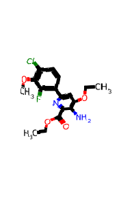 CCOC(=O)c1nc(-c2ccc(Cl)c(OC)c2F)cc(OCC)c1N